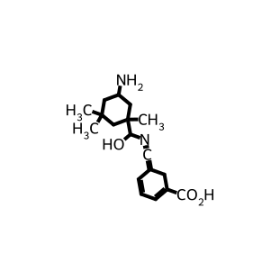 CC1(C)CC(N)CC(C)(C(O)N=C=C2C=CC=C(C(=O)O)C2)C1